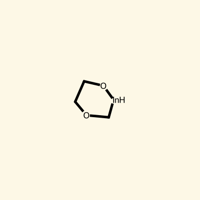 C1C[O][InH][CH2]O1